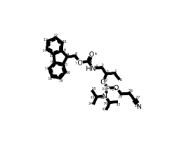 CCC(CNC(=O)OCC1c2ccccc2-c2ccccc21)OP(OCCC#N)N(C(C)C)C(C)C